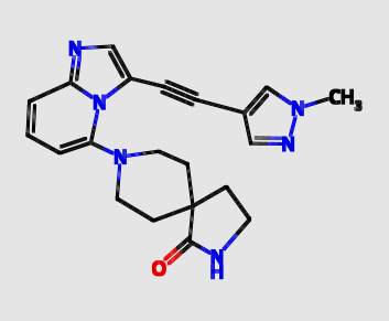 Cn1cc(C#Cc2cnc3cccc(N4CCC5(CCNC5=O)CC4)n23)cn1